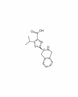 CC(C)c1sc([C@@H]2Cc3ccccc3CN2)nc1C(=O)O